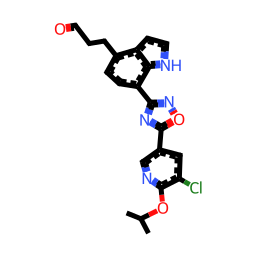 CC(C)Oc1ncc(-c2nc(-c3ccc(CCC=O)c4cc[nH]c34)no2)cc1Cl